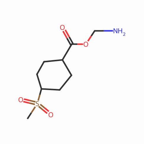 CS(=O)(=O)C1CCC(C(=O)OCN)CC1